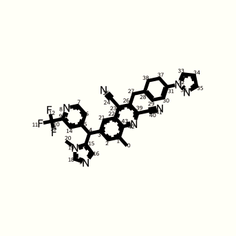 Cc1cc(C(c2ccnc(C(F)(F)F)c2)c2cncn2C)cc2c(C#N)c(CC3=CC=C(n4cccn4)CC3)c(C#N)nc12